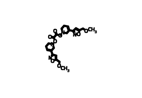 COCc1cc(C2=CCCN(OC(=O)C(=O)ON3CCC=C(c4cc(COC)on4)C3)C2)no1